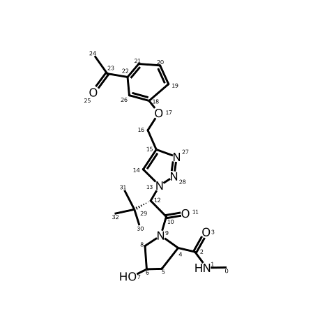 CNC(=O)C1CC(O)CN1C(=O)[C@@H](n1cc(COc2cccc(C(C)=O)c2)nn1)C(C)(C)C